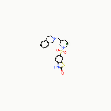 Cl.O=c1[nH]c2ccc(S(=O)(=O)N3CCCC(CN4CCc5ccccc5C4)C3)cc2s1